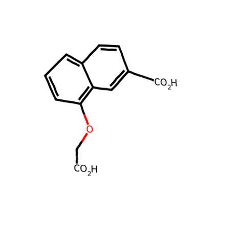 O=C(O)COc1cccc2ccc(C(=O)O)cc12